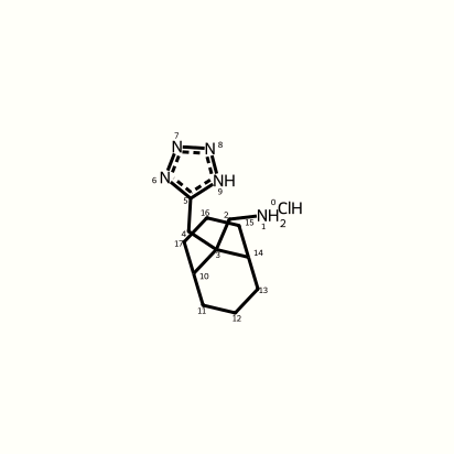 Cl.NCC1(Cc2nnn[nH]2)C2CCCC1CCC2